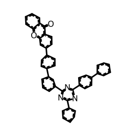 O=c1c2ccccc2oc2cc(-c3ccc(-c4cccc(-c5nc(-c6ccccc6)nc(-c6ccc(-c7ccccc7)cc6)n5)c4)cc3)ccc12